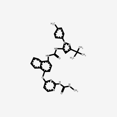 CNC(=O)Nc1nccc(Oc2ccc(NC(=O)Nc3cc(C(C)(C)C)nn3-c3ccc(C)cc3)c3ccccc23)n1